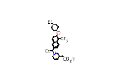 CCC(c1ccc2c(C(F)(F)F)c(O[C@H]3CC[C@@H](CC)CC3)ccc2c1)N1CCC[C@H](CC(=O)O)C1